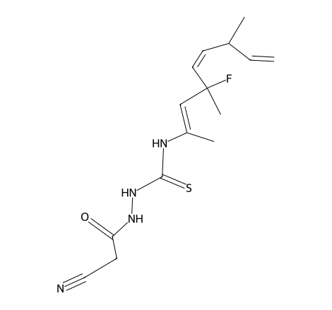 C=CC(C)/C=C\C(C)(F)/C=C(\C)NC(=S)NNC(=O)CC#N